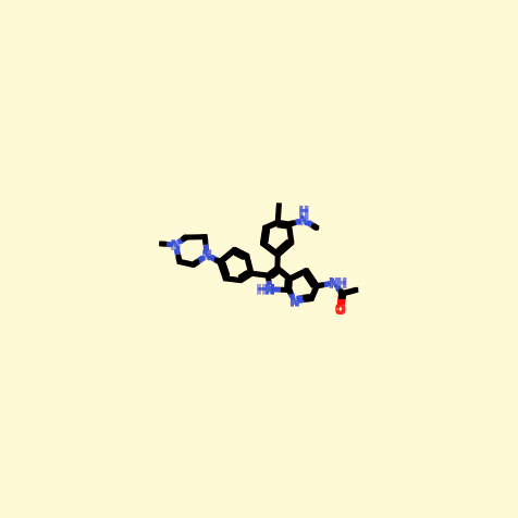 CNc1cc(-c2c(-c3ccc(N4CCN(C)CC4)cc3)[nH]c3ncc(NC(C)=O)cc23)ccc1C